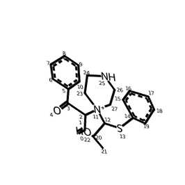 C=CC(C(=O)c1ccccc1)[N+]1(C(Sc2ccccc2)C(C)O)CCNCC1